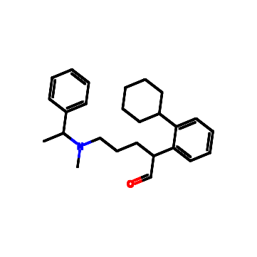 CC(c1ccccc1)N(C)CCCC(C=O)c1ccccc1C1CCCCC1